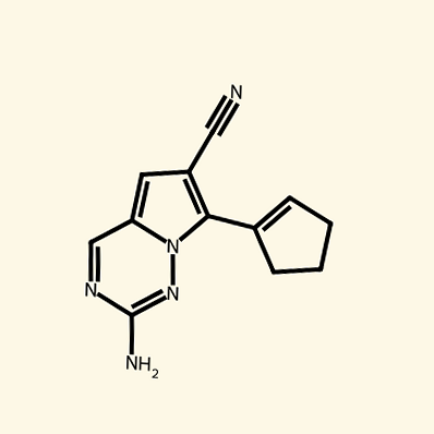 N#Cc1cc2cnc(N)nn2c1C1=CCCC1